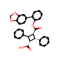 O=C(O)[C@@H]1C(c2ccccc2)[C@@H](C(=O)Oc2ccccc2-c2ccc3c(c2)OCO3)[C@@H]1c1ccccc1